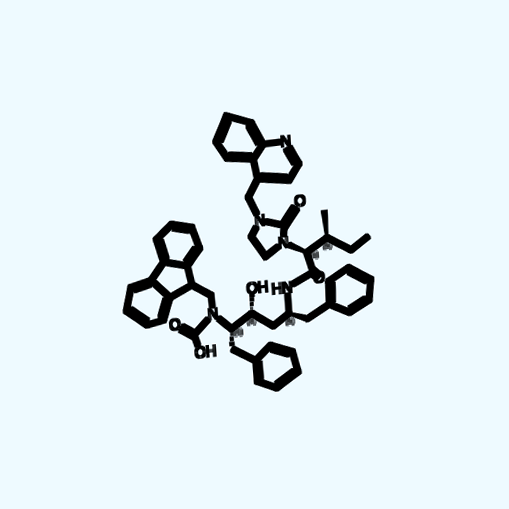 CC[C@H](C)[C@@H](C(=O)N[C@@H](Cc1ccccc1)C[C@@H](O)[C@H](Cc1ccccc1)N(CC1c2ccccc2-c2ccccc21)C(=O)O)N1CCN(Cc2ccnc3ccccc23)C1=O